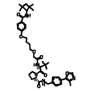 Cc1ncoc1-c1ccc(CNC(=O)[C@@H]2CCCN2C(=O)[C@@H](NC(=O)COCCCCOc2ccc(C(=O)NC3C(C)(C)CC3(C)C)cc2)C(C)(C)C)cc1